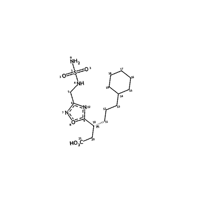 NS(=O)(=O)NCc1noc([C@H](CCCC2CCCCC2)CC(=O)O)n1